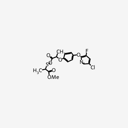 COC(=O)C(C)SOC(=O)C(C)Oc1ccc(Oc2ncc(Cl)cc2F)cc1